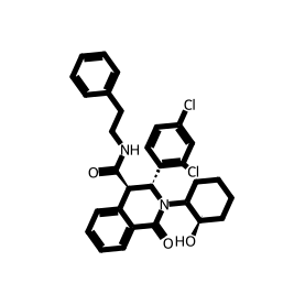 O=C(NCCc1ccccc1)[C@@H]1c2ccccc2C(=O)N(C2CCCC[C@H]2O)[C@H]1c1ccc(Cl)cc1Cl